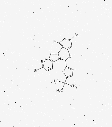 CC(C)(C)c1ccc(C2Oc3cc(Br)cc(F)c3-c3cc4cc(Br)ccc4n32)s1